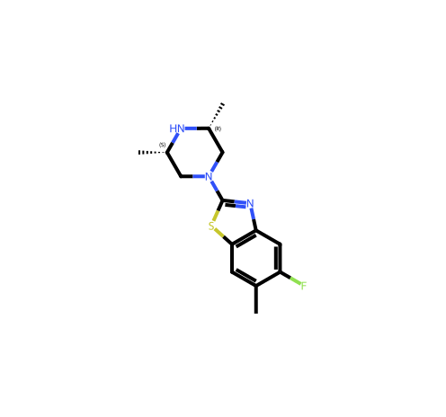 Cc1cc2sc(N3C[C@@H](C)N[C@@H](C)C3)nc2cc1F